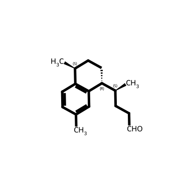 Cc1ccc2c(c1)[C@@H]([C@@H](C)CCC=O)CC[C@@H]2C